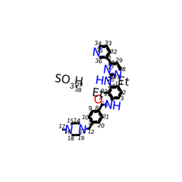 CCc1ccc(NC(=O)c2ccc(CN3CCN(C)CC3)cc2)c(CC)c1Nc1nccc(-c2cccnc2)n1.CS(=O)(=O)O